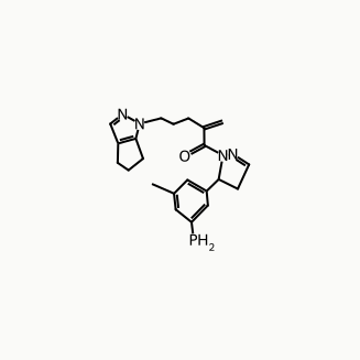 C=C(CCCn1ncc2c1CCC2)C(=O)N1N=CCC1c1cc(C)cc(P)c1